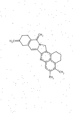 C=C1CCC2=C(C=C3c4nc5cc(P)c(C)c6c5c(c4CN3C2=C)CCC6)C1